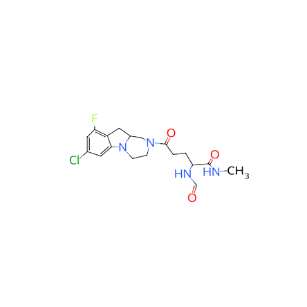 CNC(=O)C(CCC(=O)N1CCN2c3cc(Cl)cc(F)c3CC2C1)NC=O